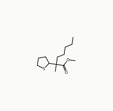 CCCCCC(C)(C(=O)OC)C1CCCS1